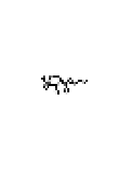 O=C1[SH4]CCN(C(=O)OCCCCl)C1=O